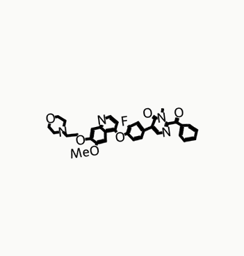 COc1cc2c(Oc3ccc(-c4cnc(C(=O)c5ccccc5)n(C)c4=O)cc3F)ccnc2cc1OCCN1CCOCC1